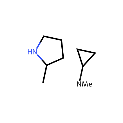 CC1CCCN1.CNC1CC1